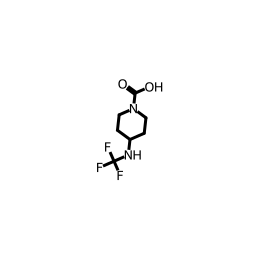 O=C(O)N1CCC(NC(F)(F)F)CC1